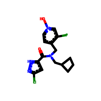 O=C(c1cc(Cl)n[nH]1)N(Cc1cc[n+](O)cc1F)CC1CCC1